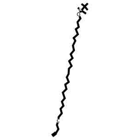 C#CCCCCCCCCCCCCCCCCCCCCCCCCCCCCCO[Si](C)(C)C(C)(C)C